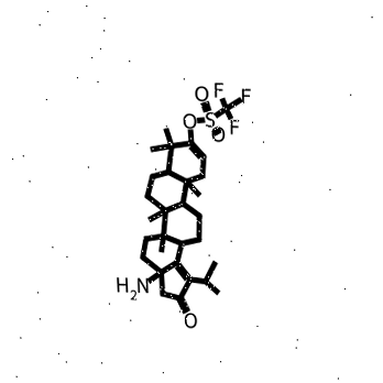 CC(C)C1=C2C3CCC4C5(C)CC=C(OS(=O)(=O)C(F)(F)F)C(C)(C)C5CCC4(C)C3(C)CCC2(N)CC1=O